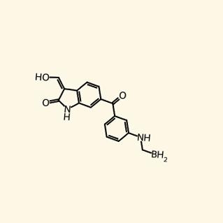 BCNc1cccc(C(=O)c2ccc3c(c2)NC(=O)C3=CO)c1